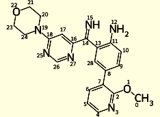 COc1ncccc1-c1ccc(N)c(C(=N)c2cc(N3CCOCC3)ncn2)c1